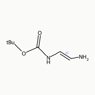 CC(C)(C)OC(=O)N/C=C/N